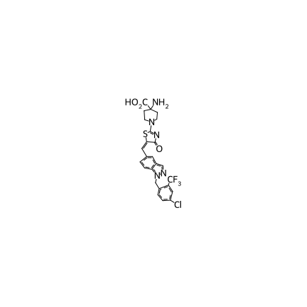 NC1(C(=O)O)CCN(C2=NC(=O)C(=Cc3ccc4c(cnn4Cc4ccc(Cl)cc4C(F)(F)F)c3)S2)CC1